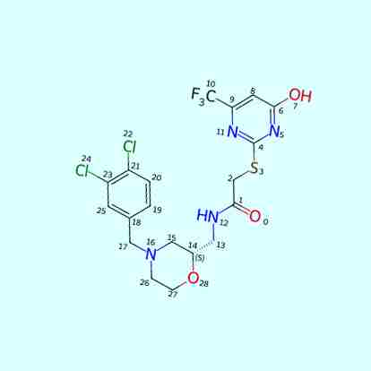 O=C(CSc1nc(O)cc(C(F)(F)F)n1)NC[C@H]1CN(Cc2ccc(Cl)c(Cl)c2)CCO1